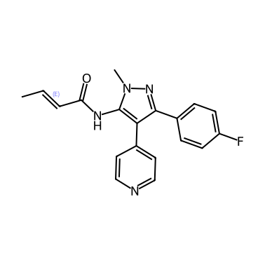 C/C=C/C(=O)Nc1c(-c2ccncc2)c(-c2ccc(F)cc2)nn1C